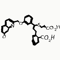 O=C(O)CCSC(CCc1ccccc1C(=O)O)c1cccc(OCc2ccc3ccc(Cl)cc3n2)c1